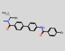 CCc1ccc(C(=O)Nc2ccc(-c3ccc(C(=O)N(C)[C@H](C(=O)O)C(C)C)cc3)cc2)cc1